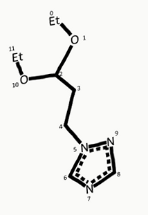 CCOC(CCn1cncn1)OCC